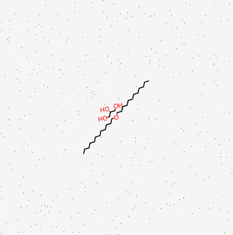 CCCCCCCCCCCCOCCCCCCCCCCCC.OCC(O)CO